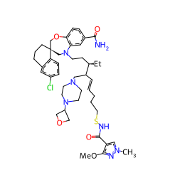 CC[C@H](CCN1C[C@@]2(CCCc3cc(Cl)ccc32)COc2ccc(C(N)=O)cc21)C(/C=C/CCCSNC(=O)c1cn(C)nc1OC)CN1CCN(C2COC2)CC1